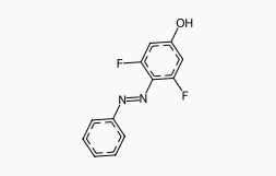 Oc1cc(F)c(N=Nc2ccccc2)c(F)c1